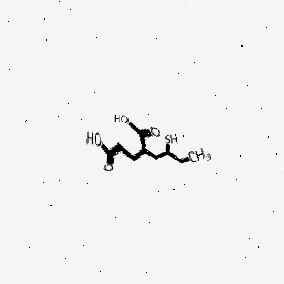 CCC(S)CC(CCC(=O)O)C(=O)O